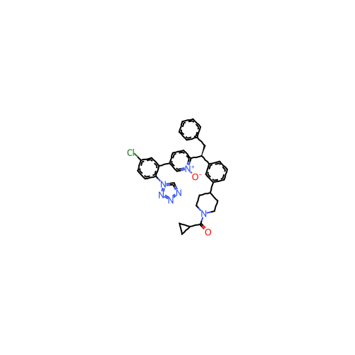 O=C(C1CC1)N1CCC(c2cccc([C@H](Cc3ccccc3)c3ccc(-c4cc(Cl)ccc4-n4cnnn4)c[n+]3[O-])c2)CC1